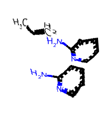 C=CC.Nc1ccccn1.Nc1ccccn1